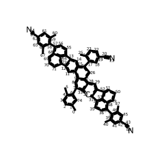 Cc1ccc(C)c(-c2cc3c4cc5c(cc4c(-c4cc(C#N)ccc4C)cc3c3cc4c(cc23)-c2ccc(-c3c(C)cc(C#N)cc3C)c3cccc-4c23)-c2ccc(-c3c(C)cc(C#N)cc3C)c3cccc-5c23)c1